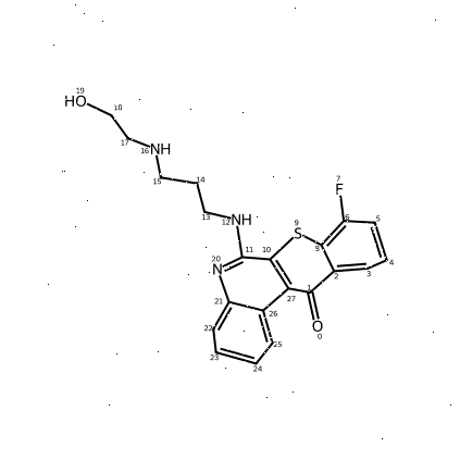 O=c1c2cccc(F)c2sc2c(NCCCNCCO)nc3ccccc3c12